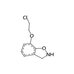 ClCCOc1cccc2c1ONC2